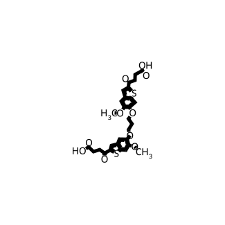 COc1cc2sc(C(=O)CCC(=O)O)cc2cc1OCCCOc1cc2sc(C(=O)CCC(=O)O)cc2cc1OC